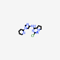 Clc1nc(Nc2cn(-c3ccccn3)cn2)c2cccn2n1